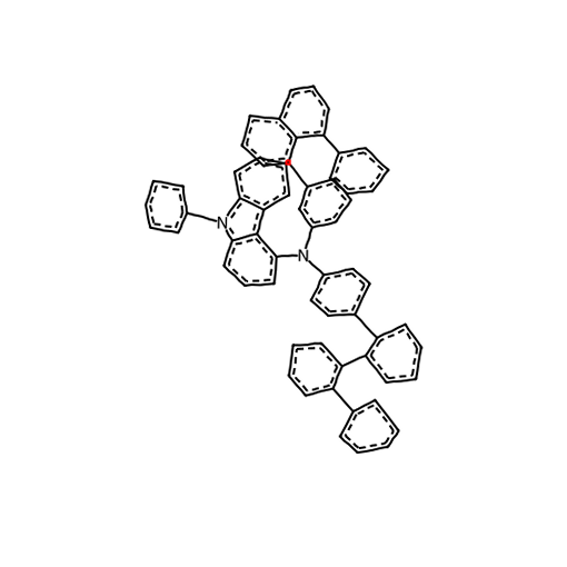 c1ccc(-c2ccccc2-c2ccccc2-c2ccc(N(c3cccc(-c4cccc5cccc(-c6ccccc6)c45)c3)c3cccc4c3c3ccccc3n4-c3ccccc3)cc2)cc1